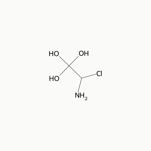 NC(Cl)C(O)(O)O